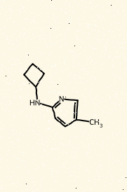 Cc1ccc(NC2CCC2)nc1